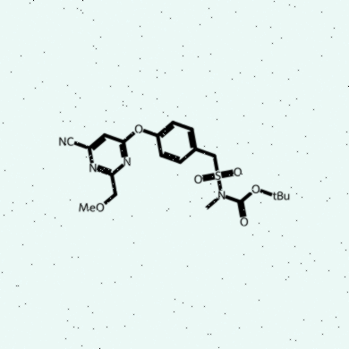 COCc1nc(C#N)cc(Oc2ccc(CS(=O)(=O)N(C)C(=O)OC(C)(C)C)cc2)n1